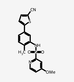 COc1ccnc(S(=O)(=O)Nc2cc(-c3ccc(C#N)s3)ccc2C)c1